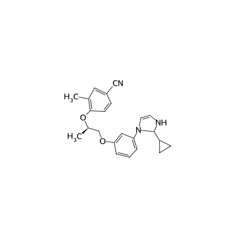 Cc1cc(C#N)ccc1O[C@H](C)COc1cccc(N2C=CNC2C2CC2)c1